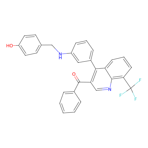 O=C(c1ccccc1)c1cnc2c(C(F)(F)F)cccc2c1-c1cccc(NCc2ccc(O)cc2)c1